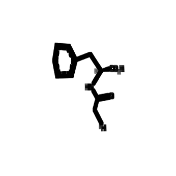 [2H]CC(=O)N[C@@H](Cc1ccccc1)C(=O)O